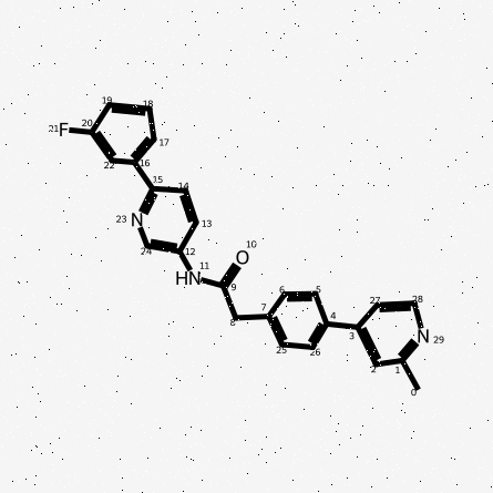 Cc1cc(-c2ccc(CC(=O)Nc3ccc(-c4cccc(F)c4)nc3)cc2)ccn1